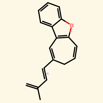 C=C(C)/C=C/C1=Cc2c(oc3ccccc23)C=CC1